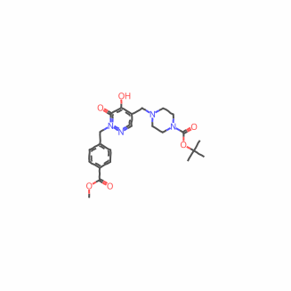 COC(=O)c1ccc(Cn2ncc(CN3CCN(C(=O)OC(C)(C)C)CC3)c(O)c2=O)cc1